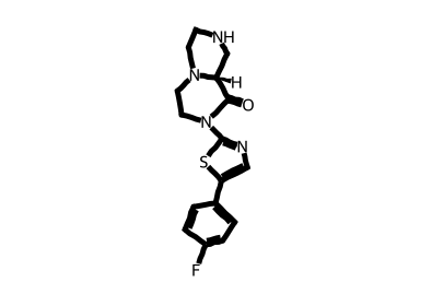 O=C1[C@H]2CNCCN2CCN1c1ncc(-c2ccc(F)cc2)s1